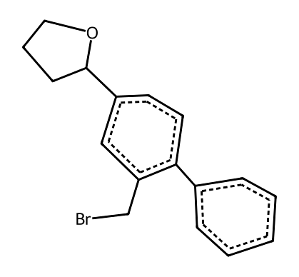 BrCc1cc(C2CCCO2)ccc1-c1ccccc1